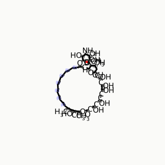 C[C@@H]1[C@H](O)[C@@H](C)/C=C/C=C/C=C/C=C/C=C/C=C/C=C/[C@H](O[C@@H]2O[C@H](C)[C@@H](O)[C@H](N)[C@@H]2O)C[C@@H]2O[C@](O)(C[C@@H](O)C[C@@H](O)[C@H](O)CC[C@@H](O)C[C@@H](O)CC(=O)O[C@H]1C)C[C@H](O)[C@@H]2C(=O)O